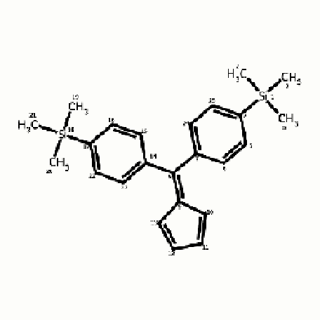 C[Si](C)(C)c1ccc(C(=C2[C]=CC=C2)c2ccc([Si](C)(C)C)cc2)cc1